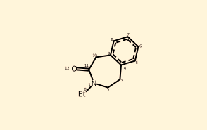 CCN1CCc2ccccc2CC1=O